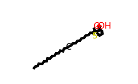 CCCCCCCCCCCCCCCCCCCCCCCCCCCCc1sc2cccc(C(=O)O)c2c1C